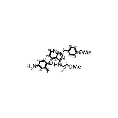 COC[C@H](C)Nc1nn(Cc2ccc(OC)cc2)c2nccc(Oc3ccc(N)cc3F)c12